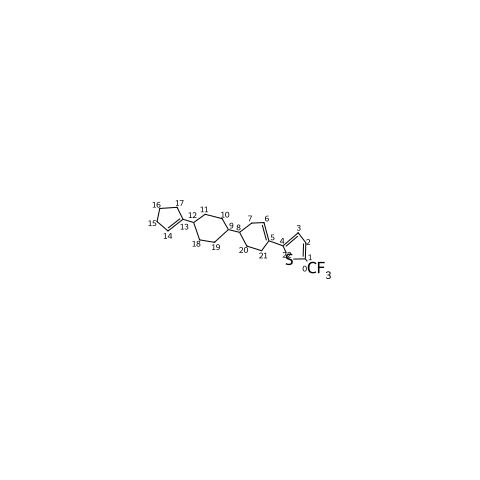 FC(F)(F)c1ccc(C2=CCC(C3CCC(C4=CCCC4)CC3)CC2)s1